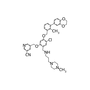 Cc1c(COc2cc(OCc3cncc(C#N)c3)c(CNCCCN3CCN(C)CC3)cc2Cl)cccc1-c1ccc2c(c1)OCCO2